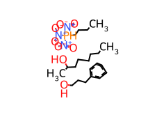 CCCCCCC(C)O.CCCC[PH]([N+](=O)[O-])([N+](=O)[O-])[N+](=O)[O-].OCCCc1ccccc1